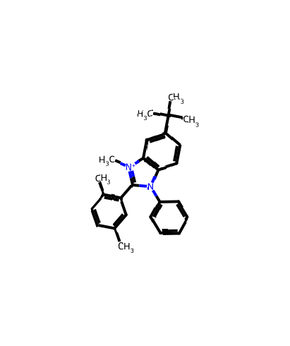 Cc1ccc(C)c(-c2n(-c3ccccc3)c3ccc(C(C)(C)C)cc3[n+]2C)c1